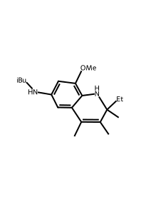 CCC(C)Nc1cc(OC)c2c(c1)C(C)=C(C)C(C)(CC)N2